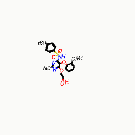 COc1ccccc1Oc1c(NS(=O)(=O)c2ccc(C(C)(C)C)cc2)nc(C#N)nc1OCCO